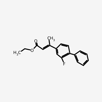 CCOC(=O)C=C(C)c1ccc(-c2ccccc2)c(F)c1